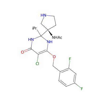 CC(=O)N[C@]1(C2(C(C)C)NC(=O)C(Cl)=C(OCc3ccc(F)cc3F)N2)CCNC1